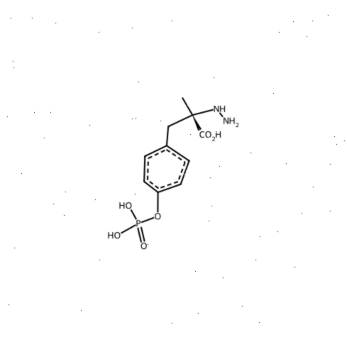 C[C@@](Cc1ccc(OP(=O)(O)O)cc1)(NN)C(=O)O